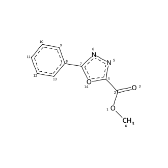 COC(=O)c1nnc(-c2ccccc2)o1